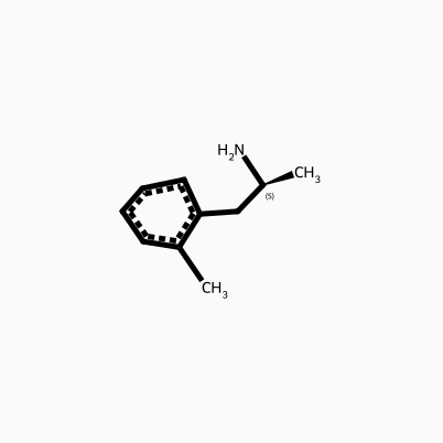 Cc1ccccc1C[C@H](C)N